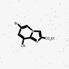 CCOC(=O)c1cn2cc(Br)cc(C#N)c2n1